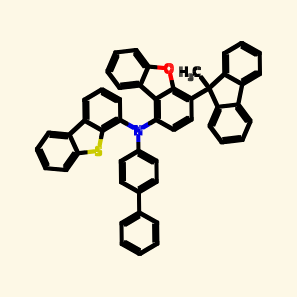 CC1(c2ccc(N(c3ccc(-c4ccccc4)cc3)c3cccc4c3sc3ccccc34)c3c2oc2ccccc23)c2ccccc2-c2ccccc21